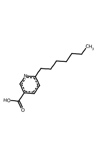 CCCCCCCc1ccc(C(=O)O)cn1